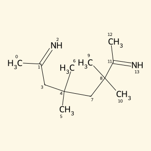 CC(=N)CC(C)(C)CC(C)(C)C(C)=N